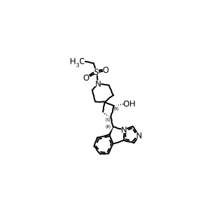 CCS(=O)(=O)N1CCC2(CC1)C[C@@H]([C@@H]1c3ccccc3-c3cncn31)[C@H]2O